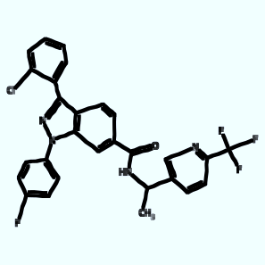 CC(NC(=O)c1ccc2c(-c3ccccc3Cl)nn(-c3ccc(F)cc3)c2c1)c1ccc(C(F)(F)F)nc1